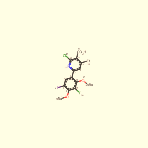 CCCCOc1c(I)cc(-c2cc(CC)c(C(=O)O)c(Cl)n2)c(OCCCC)c1F